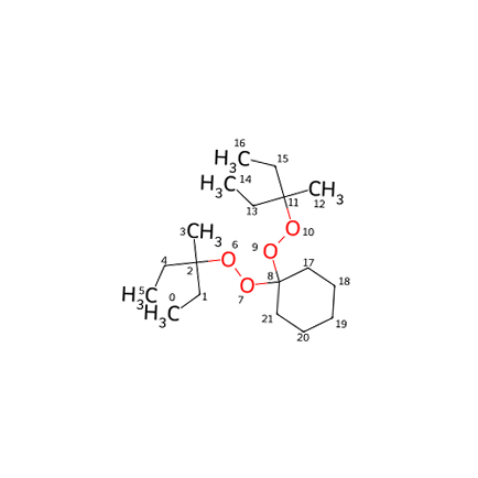 CCC(C)(CC)OOC1(OOC(C)(CC)CC)CCCCC1